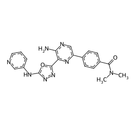 CN(C)C(=O)c1ccc(-c2cnc(N)c(-c3nnc(Nc4cccnc4)o3)n2)cc1